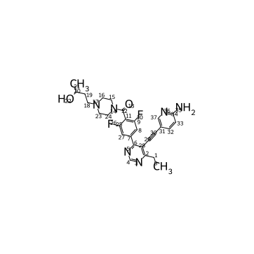 CCc1ncnc(-c2cc(F)c(C(=O)N3CCN(CCC(C)O)CC3)c(F)c2)c1C#Cc1ccc(N)nc1